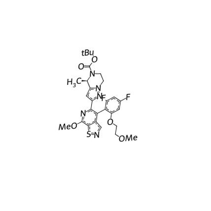 COCCOc1cc(F)cc(F)c1-c1c(-c2cc3n(n2)CCN(C(=O)OC(C)(C)C)[C@@H]3C)nc(OC)c2sncc12